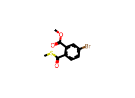 COC(=O)c1cc(Br)ccc1C(=O)SC